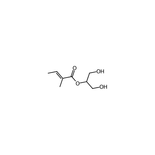 C/C=C(\C)C(=O)OC(CO)CO